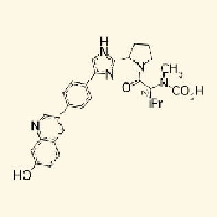 CC(C)[C@@H](C(=O)N1CCCC1c1nc(-c2ccc(-c3cnc4cc(O)ccc4c3)cc2)c[nH]1)N(C)C(=O)O